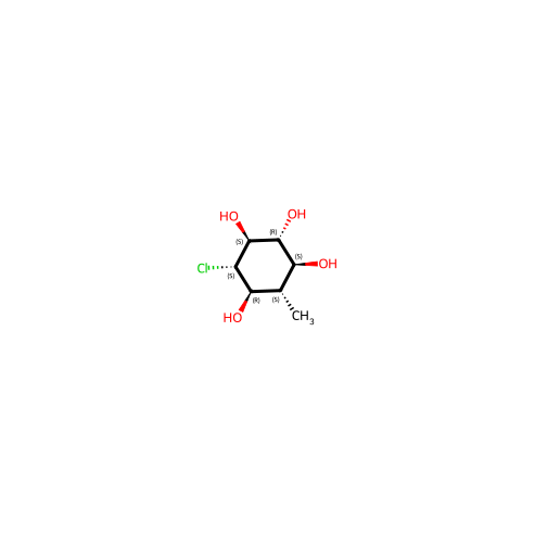 C[C@@H]1[C@@H](O)[C@H](Cl)[C@@H](O)[C@H](O)[C@H]1O